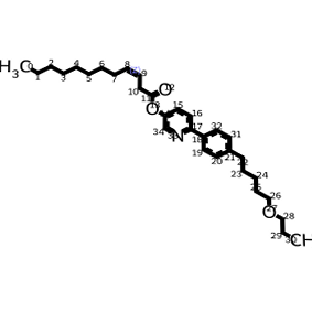 CCCCCCCC/C=C\CC(=O)Oc1ccc(-c2ccc(CCCCCOCCC)cc2)nc1